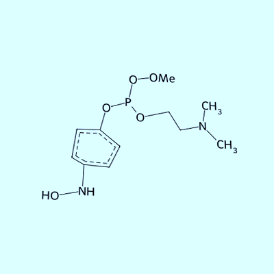 COOP(OCCN(C)C)Oc1ccc(NO)cc1